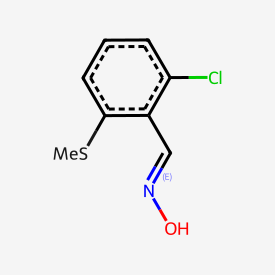 CSc1cccc(Cl)c1/C=N/O